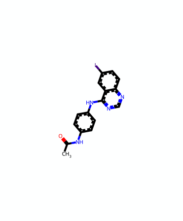 CC(=O)Nc1ccc(Nc2ncnc3ccc(I)cc23)cc1